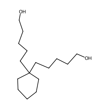 OCCCCCC1(CCCCCO)CCCCC1